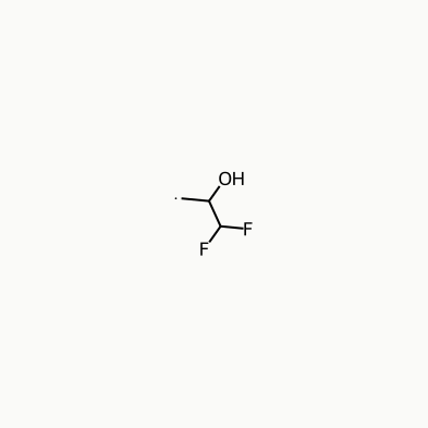 [CH2]C(O)C(F)F